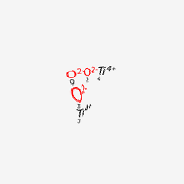 [O-2].[O-2].[O-2].[Ti+4].[Ti+4]